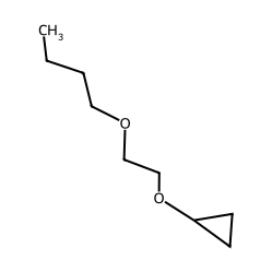 CCCCOCCOC1CC1